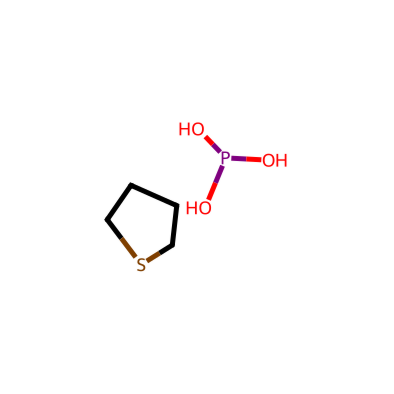 C1CCSC1.OP(O)O